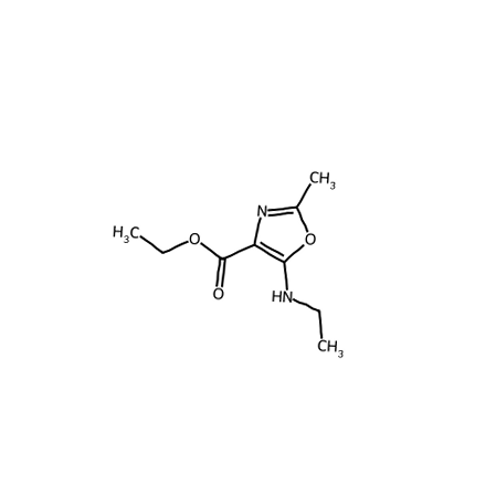 CCNc1oc(C)nc1C(=O)OCC